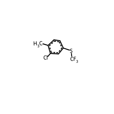 Cc1ccc(SC(F)(F)F)cc1Cl